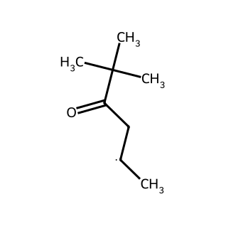 C[CH]CC(=O)C(C)(C)C